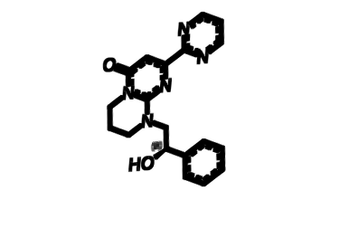 O=c1cc(-c2ncccn2)nc2n1CCCN2C[C@H](O)c1ccccc1